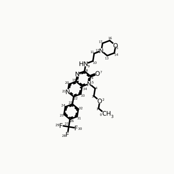 CCOCCn1c(=O)c(NCCN2CCOCC2)nc2cnc(-c3ccc(C(F)(F)F)cc3)cc21